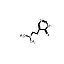 CN(C)CCc1cnc[nH]c1=O